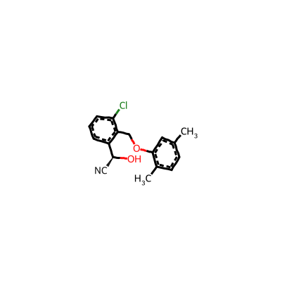 Cc1ccc(C)c(OCc2c(Cl)cccc2[C@@H](O)C#N)c1